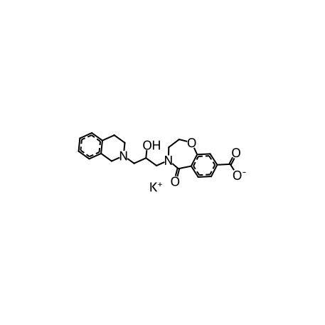 O=C([O-])c1ccc2c(c1)OCCN(CC(O)CN1CCc3ccccc3C1)C2=O.[K+]